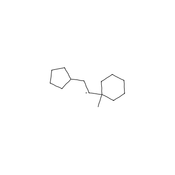 CC1([CH]CC2CCCC2)CCCCC1